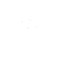 CN(C1=NS(=O)(=O)c2cc(F)ccc2N1)c1ccccn1